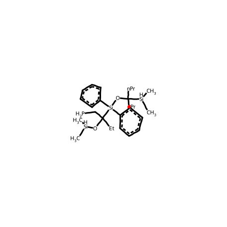 CCCC(CCC)(O[Si](c1ccccc1)(c1ccccc1)C(CC)(CP)O[SiH](C)C)[SiH](C)C